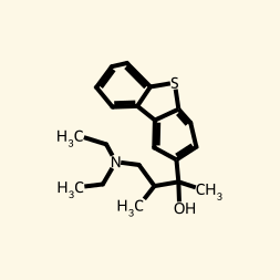 CCN(CC)CC(C)C(C)(O)c1ccc2sc3ccccc3c2c1